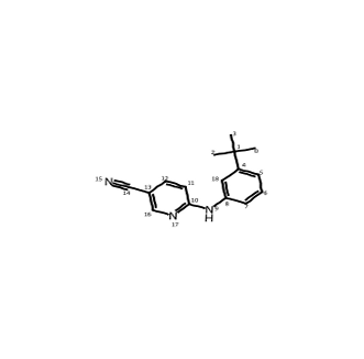 CC(C)(C)c1cccc(Nc2ccc(C#N)cn2)c1